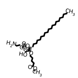 CCCCCCCCCCCCCCCCCCCC[C@@H](OP(=O)(O)OCCN)[C@H](CO)OCCCCC(=O)OC